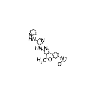 CC1Oc2cc(N3CCCC3=O)ccc2-c2cnc(Nc3cncc(Nc4ccccn4)c3)cc21